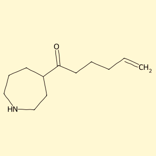 C=CCCCC(=O)C1CCCNCC1